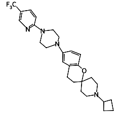 FC(F)(F)c1ccc(N2CCN(c3ccc4c(c3)CCC3(CCN(C5CCC5)CC3)O4)CC2)nc1